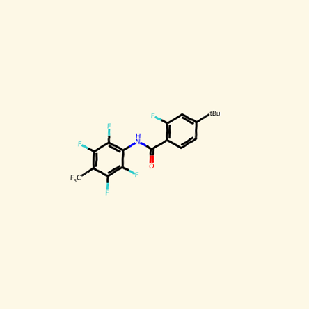 CC(C)(C)c1ccc(C(=O)Nc2c(F)c(F)c(C(F)(F)F)c(F)c2F)c(F)c1